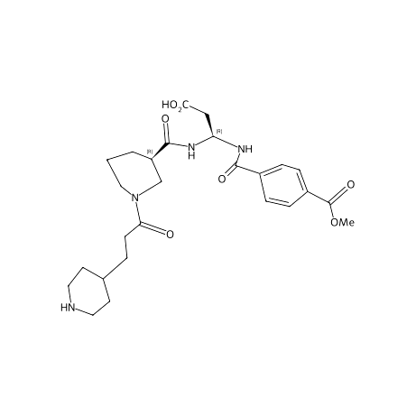 COC(=O)c1ccc(C(=O)N[C@H](CC(=O)O)NC(=O)[C@@H]2CCCN(C(=O)CCC3CCNCC3)C2)cc1